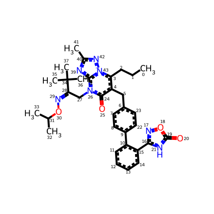 CCCc1c(Cc2ccc(-c3ccccc3-c3noc(=O)[nH]3)cc2)c(=O)n(C/C(=N\OC(C)C)C(C)(C)C)c2nc(C)nn12